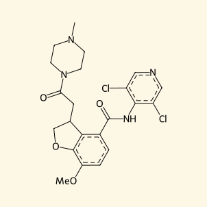 COc1ccc(C(=O)Nc2c(Cl)cncc2Cl)c2c1OCC2CC(=O)N1CCN(C)CC1